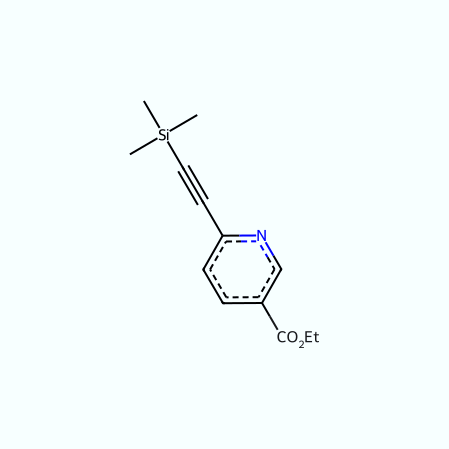 CCOC(=O)c1ccc(C#C[Si](C)(C)C)nc1